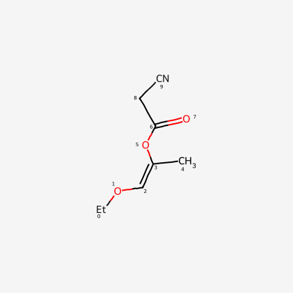 CCOC=C(C)OC(=O)CC#N